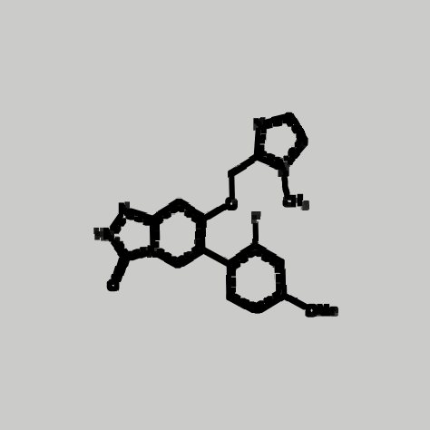 COc1ccc(-c2cn3c(=O)[nH]nc3cc2OCc2nccn2C)c(F)c1